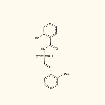 COc1ccccc1C=CS(=O)(=O)NC(=O)c1ccc(C)cc1Br